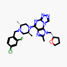 Cc1nc2c(N3C[C@@H](C)N(Cc4ccc(Cl)cc4F)C[C@@H]3C)nc3nncn3c2n1C[C@@H]1CCCO1